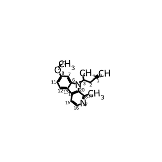 C#CCC(C)n1c2cc(OC)ccc2c2ccnc(C)c21